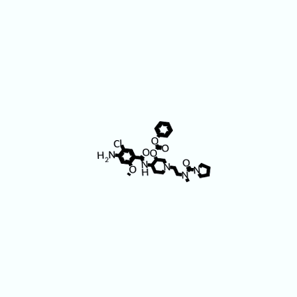 COc1cc(N)c(Cl)cc1C(=O)NC1CCN(CCN(C)C(=O)N2CCCC2)CC1OC(=O)Oc1ccccc1